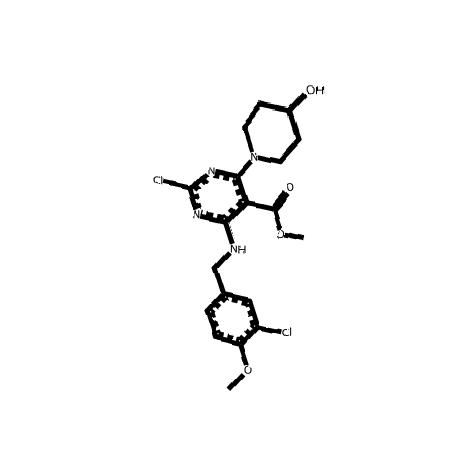 COC(=O)c1c(NCc2ccc(OC)c(Cl)c2)nc(Cl)nc1N1CCC(O)CC1